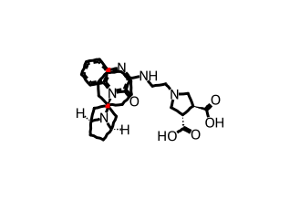 O=C(O)[C@@H]1CN(CCNc2nc3ccccc3n([C@H]3C[C@H]4CC[C@@H](C3)N4C3CCCCCCC3)c2=O)C[C@H]1C(=O)O